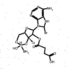 B[PH]1(O)OCC2OC(N3c4ncnc(N)c4NC3Br)C(OC(=O)CCC(=O)O)[C@@H]2O1